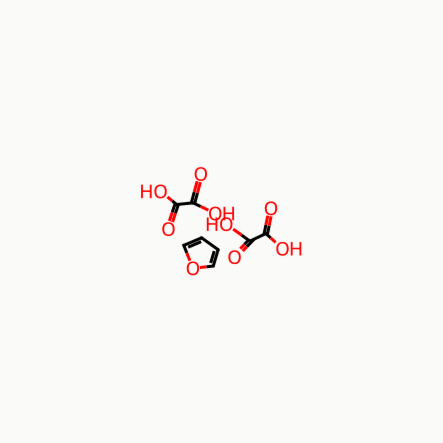 O=C(O)C(=O)O.O=C(O)C(=O)O.c1ccoc1